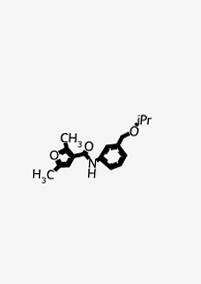 Cc1cc(C(=O)Nc2cccc(COC(C)C)c2)c(C)o1